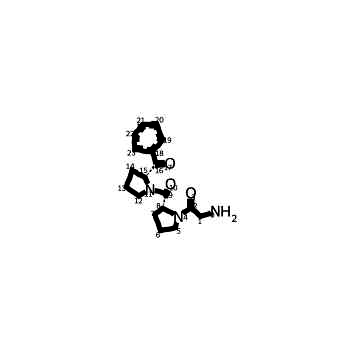 NCC(=O)N1CCC[C@@H]1C(=O)N1CCC[C@@H]1C(=O)c1cc[c]cc1